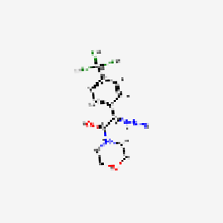 [N-]=[N+]=C(C(=O)N1CCOCC1)c1ccc(C(F)(F)F)cc1